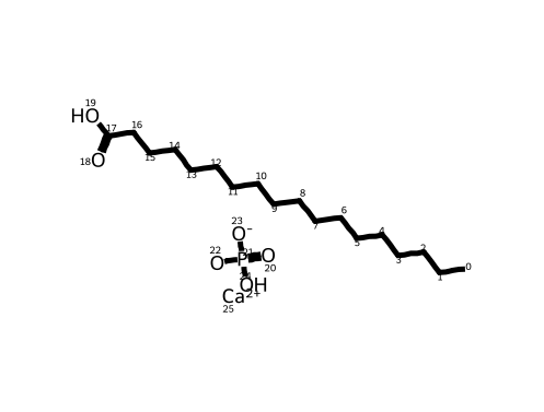 CCCCCCCCCCCCCCCCCC(=O)O.O=P([O-])([O-])O.[Ca+2]